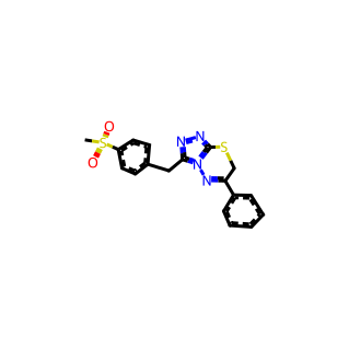 CS(=O)(=O)c1ccc(Cc2nnc3n2N=C(c2ccccc2)CS3)cc1